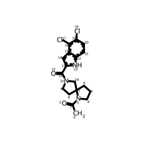 CC(=O)N1CCCC12CCN(C(=O)c1cc3c(Cl)c(Cl)ccc3[nH]1)C2